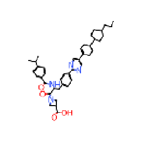 CCCC1CCC(C2CC=C(c3cnc(-c4ccc(CC(NC(=O)c5ccc(C(C)C)cc5)C(=O)N5CC(C(=O)O)C5)cc4)nc3)CC2)CC1